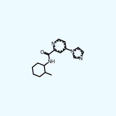 CC1CCCCC1NC(=O)c1cc(-n2ccnc2)ccn1